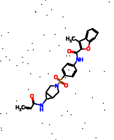 C=CC(=O)NC1C2CN(S(=O)(=O)c3ccc(NC(=O)c4oc5ccccc5c4C)cc3)CC21